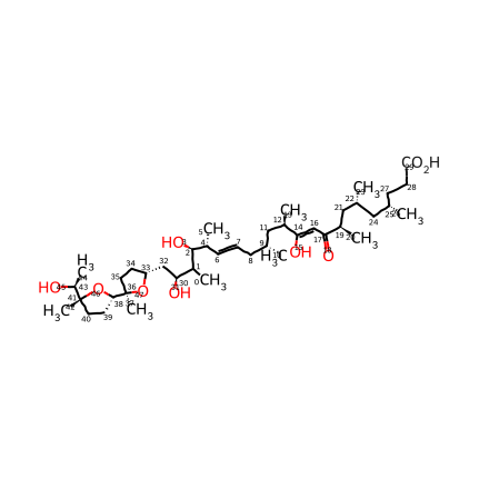 CC([C@@H](O)[C@H](C)/C=C/C[C@@H](C)C[C@@H](C)/C(O)=C/C(=O)[C@H](C)C[C@H](C)C[C@@H](C)CCC(=O)O)[C@@H](O)C[C@H]1CC[C@](C)([C@@H]2CC[C@](C)([C@H](C)O)O2)O1